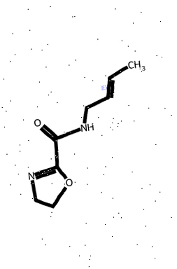 C/C=C/CNC(=O)C1=NCCO1